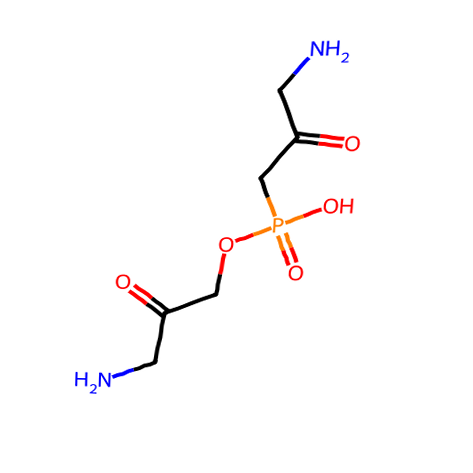 NCC(=O)COP(=O)(O)CC(=O)CN